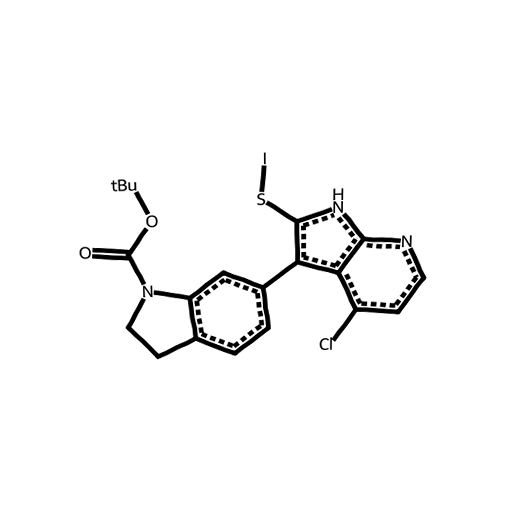 CC(C)(C)OC(=O)N1CCc2ccc(-c3c(SI)[nH]c4nccc(Cl)c34)cc21